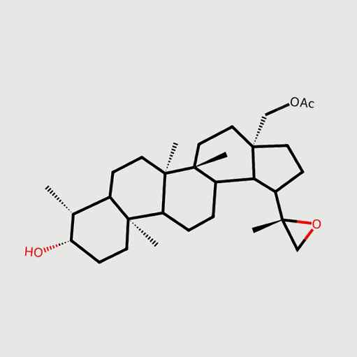 CC(=O)OC[C@]12CCC([C@@]3(C)CO3)C1C1CCC3[C@@]4(C)CC[C@H](O)[C@H](C)C4CC[C@@]3(C)[C@]1(C)CC2